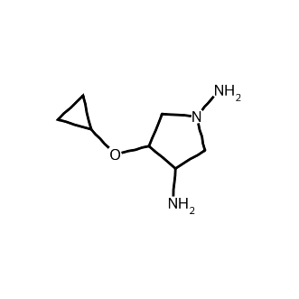 NC1CN(N)CC1OC1CC1